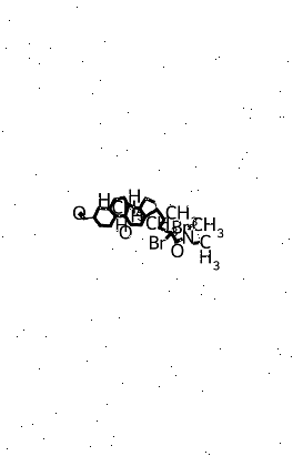 CCN(CC)C(=O)C(Br)(Br)C[C@@H](C)[C@H]1CC[C@H]2[C@@H]3CC[C@@H]4C[C@H](C=O)CC[C@]4(C)[C@H]3C(=O)C[C@]12C